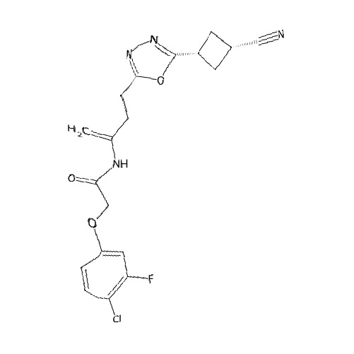 C=C(CCc1nnc([C@H]2C[C@@H](C#N)C2)o1)NC(=O)COc1ccc(Cl)c(F)c1